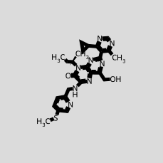 CC[C@@H](C)n1c(=O)c(NCc2ccc(SC)cn2)nc2c(CO)nc(-c3c(C)ncnc3C3CC3)nc21